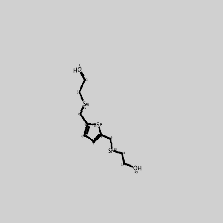 OCC[Se]Cc1ccc(C[Se]CCO)[se]1